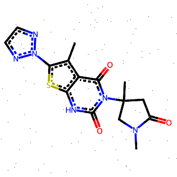 Cc1c(-n2nccn2)sc2[nH]c(=O)n(C3(C)CC(=O)N(C)C3)c(=O)c12